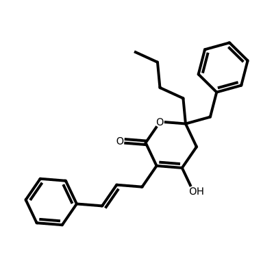 CCCCC1(Cc2ccccc2)CC(O)=C(CC=Cc2ccccc2)C(=O)O1